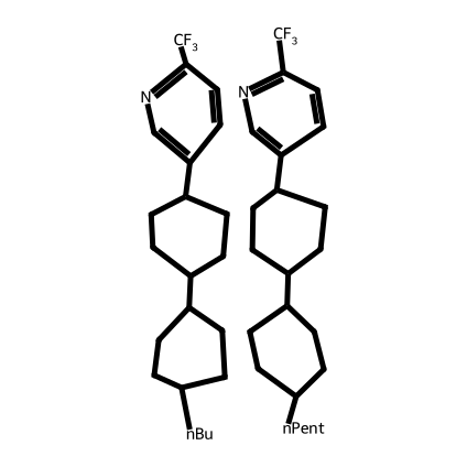 CCCCC1CCC(C2CCC(c3ccc(C(F)(F)F)nc3)CC2)CC1.CCCCCC1CCC(C2CCC(c3ccc(C(F)(F)F)nc3)CC2)CC1